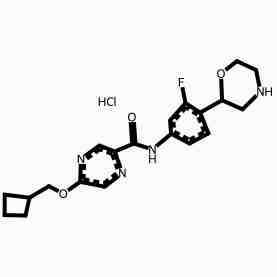 Cl.O=C(Nc1ccc(C2CNCCO2)c(F)c1)c1cnc(OCC2CCC2)cn1